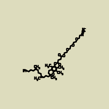 Cc1c(C)c2c(c(C)c1OC(=O)CCC(=O)OCCOCCOCCOCCN=[N+]=[N-])CC[C@@](C)(CCC[C@H](C)CCC[C@H](C)CCCC(C)C)O2